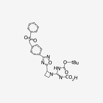 CC(C)(C)OC(=O)N/C(=N\C(=O)O)N1CCC1c1nc(-c2ccc(CS(=O)(=O)c3ccccc3)cc2)no1